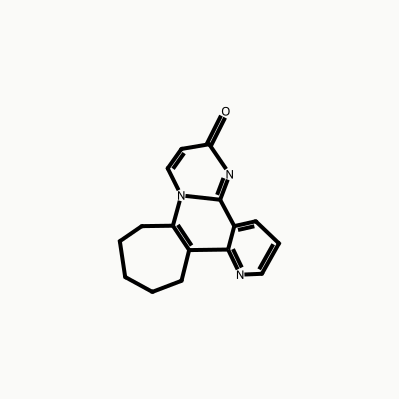 O=c1ccn2c3c(c4ncccc4c2n1)CCCCC3